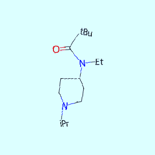 CCN(C(=O)C(C)(C)C)C1CCN(C(C)C)CC1